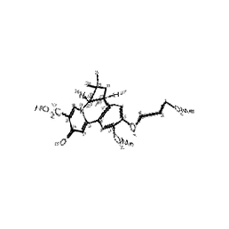 COCCCOc1cc2c(cc1OC)-c1cc(=O)c(C(=O)O)cn1[C@H]1[C@@H]2CC1(C)C